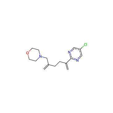 C=C(CCC(=C)c1ncc(Cl)cn1)CN1CCOCC1